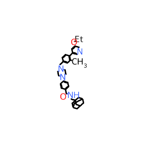 CCOc1cncc(-c2ccc(CN3CCN(c4ccc(C(=O)NCC56CC7CC(CC(C7)C5)C6)cc4)CC3)cc2C)c1